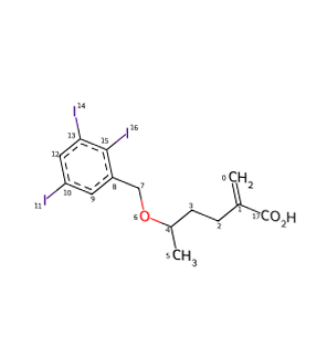 C=C(CCC(C)OCc1cc(I)cc(I)c1I)C(=O)O